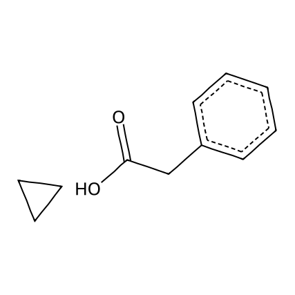 C1CC1.O=C(O)Cc1ccccc1